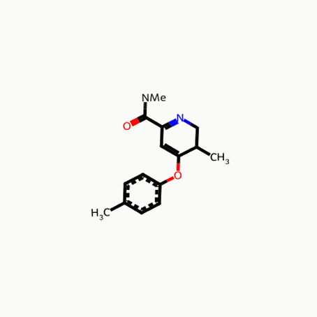 CNC(=O)C1=NCC(C)C(Oc2ccc(C)cc2)=C1